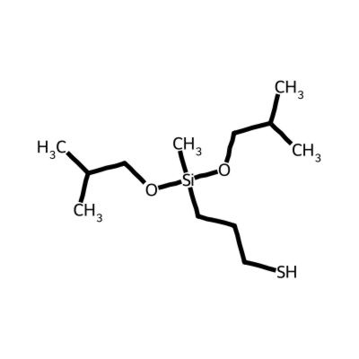 CC(C)CO[Si](C)(CCCS)OCC(C)C